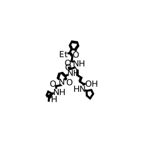 CCc1c(C(=O)N[C@@H](CC/C=C/C(O)NC2CCCC2)C(=O)Nc2cccn(CC(=O)NC34CC(C3)[C@@H]4C)c2=O)oc2ccccc12